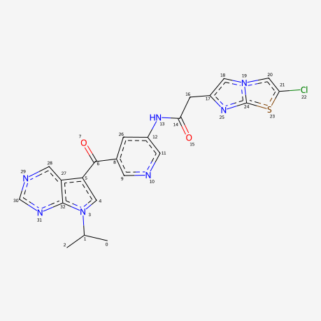 CC(C)n1cc(C(=O)c2cncc(NC(=O)Cc3cn4cc(Cl)sc4n3)c2)c2cncnc21